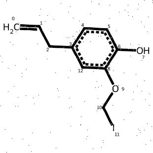 C=CCc1ccc(O)c(OCI)c1